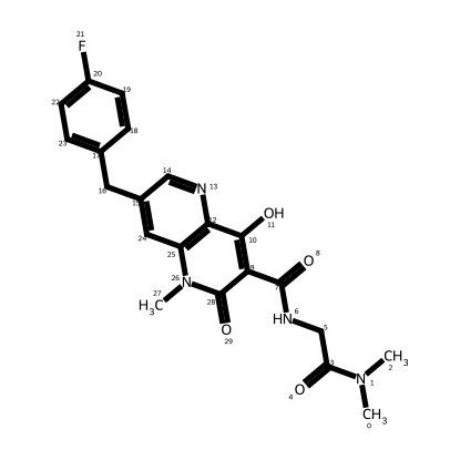 CN(C)C(=O)CNC(=O)c1c(O)c2ncc(Cc3ccc(F)cc3)cc2n(C)c1=O